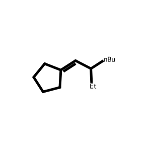 CCCCC(C=C1CCCC1)CC